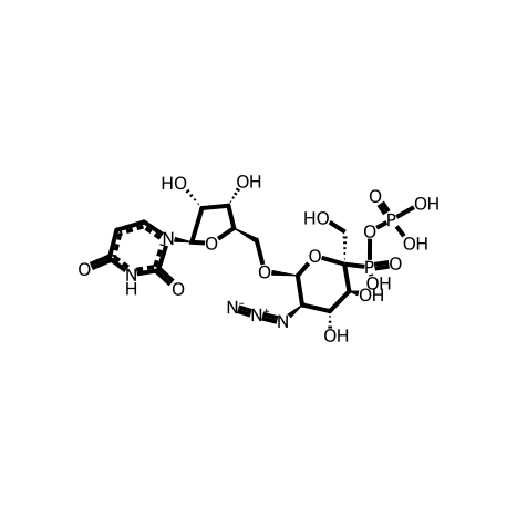 [N-]=[N+]=N[C@H]1[C@@H](OC[C@H]2O[C@@H](n3ccc(=O)[nH]c3=O)[C@H](O)[C@@H]2O)O[C@@](CO)(P(=O)(O)OP(=O)(O)O)[C@@H](O)[C@@H]1O